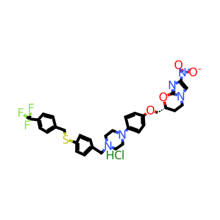 Cl.O=[N+]([O-])c1cn2c(n1)O[C@@H](COc1ccc(N3CCN(Cc4ccc(SCc5ccc(C(F)(F)F)cc5)cc4)CC3)cc1)CC2